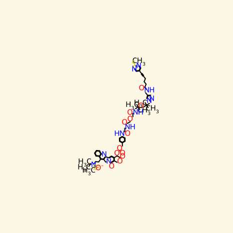 CSc1ncc(C#CCCCC(=O)NCc2cnn(CC(C)(C)COC(C)(C)CNC(=O)COCC(=O)NCC(=O)Nc3ccc(COC(=O)OC4C(=O)OCc5c4cc4n(c5=O)Cc5c-4nc4ccccc4c5CCN(C(C)C)[S+](C)[O-])cc3)c2)cn1